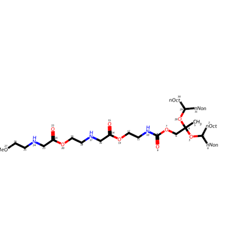 CCCCCCCCCC(CCCCCCCC)OC(C)(COC(=O)NCCOC(=O)CNCCOC(=O)CNCCOC)OC(CCCCCCCC)CCCCCCCCC